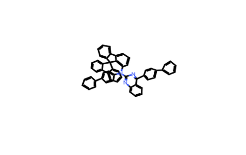 c1ccc(-c2ccc(-c3nc(N(c4ccc(-c5ccccc5)cc4)c4cccc5c4C4(c6ccccc6-c6ccccc64)c4ccccc4-5)nc4ccccc34)cc2)cc1